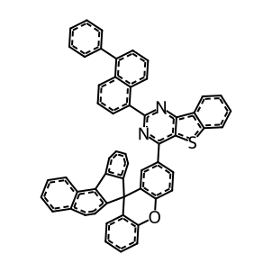 c1ccc(-c2cccc3c(-c4nc(-c5ccc6c(c5)C5(c7ccccc7O6)c6ccccc6-c6c5ccc5ccccc65)c5sc6ccccc6c5n4)cccc23)cc1